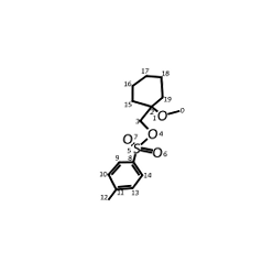 COC1(COS(=O)(=O)c2ccc(C)cc2)CCCCC1